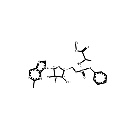 Cc1ncc2ncn([C@@H]3O[C@H](CO[P@@](=O)(NC(C)C(=O)OC(C)C)Oc4ccccc4)[C@@H](O)[C@]3(F)Cl)c2n1